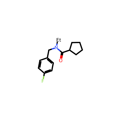 [CH2]CN(Cc1ccc(F)cc1)C(=O)C1CCCC1